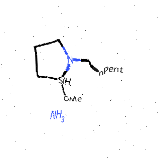 CCCCCCN1CCC[SiH]1OC.N